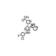 O=C(O)c1cncc(-c2cnc(Nc3ccc(F)c(Cl)c3)nc2-n2nnc3ncccc32)c1